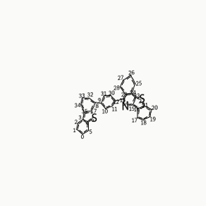 c1ccc2c(c1)sc1c(-c3ccc(-c4nc5c6ccccc6sc5c5ccccc45)cc3)cccc12